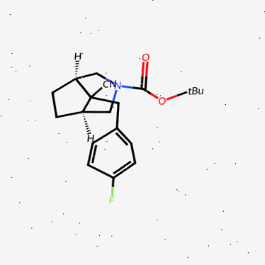 CC(C)(C)OC(=O)N1C[C@H]2CC[C@@H](C1)C2(C#N)Cc1ccc(F)cc1